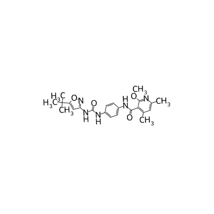 COc1nc(C)cc(C)c1C(=O)Nc1ccc(NC(=O)Nc2cc(C(C)(C)C)on2)cc1